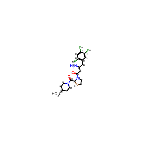 NC(CC(=O)N1CCSC1C(=O)N1CCC(C(=O)O)CC1)Cc1cc(F)c(F)cc1F